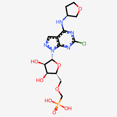 O=P(O)(O)COC[C@H]1O[C@@H](n2ncc3c(N[C@H]4CCOC4)nc(Cl)nc32)[C@H](O)[C@@H]1O